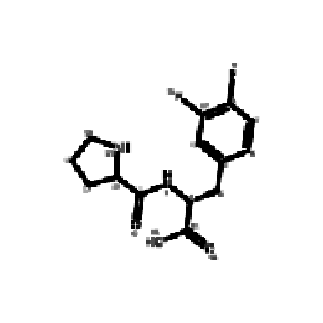 O=C(N[C@@H](Cc1ccc(F)c(F)c1)C(=O)O)C1CCCN1